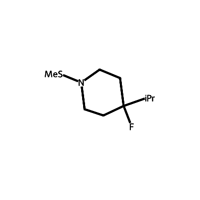 CSN1CCC(F)(C(C)C)CC1